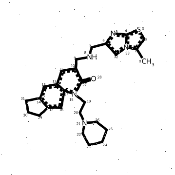 Cc1csc2nc(CNCc3cc4cc5c(cc4n(CCN4CCCCC4)c3=O)CCC5)cn12